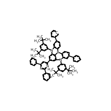 CC(C)(C)c1cc(N2c3cc(-c4ccccc4)ccc3B3c4ccc(-c5ccccc5)cc4N(c4cc(C(C)(C)C)cc(C(C)(C)C)c4)c4cc(-c5cc(-c6ccccc6)nc(-c6ccccc6)n5)cc2c43)cc(C(C)(C)C)c1